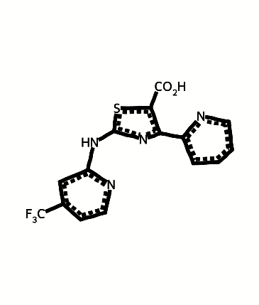 O=C(O)c1sc(Nc2cc(C(F)(F)F)ccn2)nc1-c1ccccn1